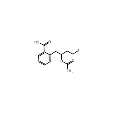 CC(=O)OC(CCF)Cc1ccccc1C(=O)O